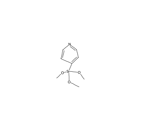 CO[Si](OC)(OC)c1ccncc1